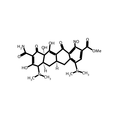 COC(=O)c1cc(N(C)C)c2c(c1N=O)C(=O)C1=C(O)[C@]3(O)C(=O)C(C(N)=O)=C(O)C(N(C)C)[C@@H]3C[C@@H]1C2